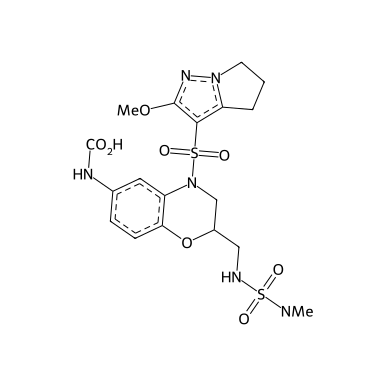 CNS(=O)(=O)NCC1CN(S(=O)(=O)c2c(OC)nn3c2CCC3)c2cc(NC(=O)O)ccc2O1